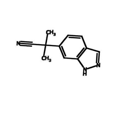 CC(C)(C#N)c1ccc2cn[nH]c2c1